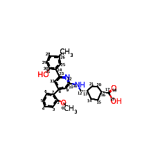 COc1ccccc1-c1cc(NC[C@H]2CC[C@H](C(=O)O)CC2)nc(-c2cc(C)ccc2O)c1